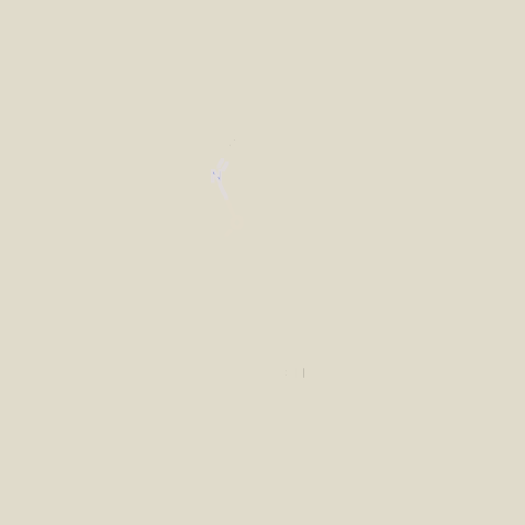 C=NOCc1ccc(C)cc1